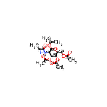 CCC(=O)N[C@H]1C(OC(C)C)O[C@H](COC(C)=O)[C@H](OC(C)=O)[C@@H]1OC(C)=O